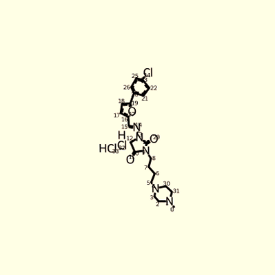 CN1CCN(CCCCN2C(=O)CN(/N=C/c3ccc(-c4ccc(Cl)cc4)o3)C2=O)CC1.Cl.Cl